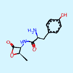 C[C@H]1OC(=O)[C@H]1NC(=O)[C@@H](N)Cc1ccc(O)cc1